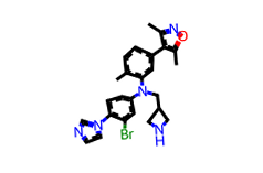 Cc1ccc(-c2c(C)noc2C)cc1N(CC1CNC1)c1ccc(-n2ccnc2)c(Br)c1